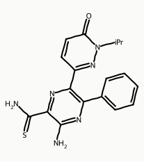 CC(C)n1nc(-c2nc(C(N)=S)c(N)nc2-c2ccccc2)ccc1=O